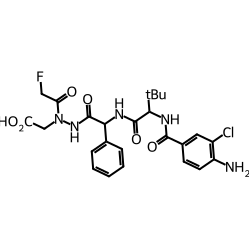 CC(C)(C)C(NC(=O)c1ccc(N)c(Cl)c1)C(=O)NC(C(=O)NN(CC(=O)O)C(=O)CF)c1ccccc1